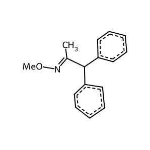 CO/N=C(\C)C(c1ccccc1)c1ccccc1